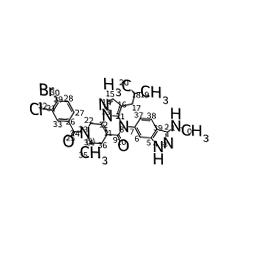 CNc1n[nH]c2cc(-n3c(=O)c4c(n5ncc(CC(C)C)c35)CN(C(=O)c3ccc(Br)c(Cl)c3)[C@@H](C)C4)ccc12